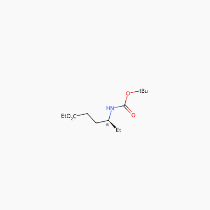 CCOC(=O)CC[C@H](CC)NC(=O)OC(C)(C)C